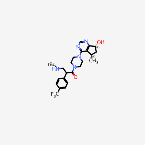 C[C@@H]1C[C@@H](O)c2ncnc(N3CCN(C(=O)C(CNC(C)(C)C)c4ccc(C(F)(F)F)cc4)CC3)c21